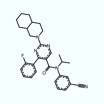 CC(C)N(C(=O)c1cnc(N2CCC3CCCCC3C2)nc1-c1ccccc1F)c1cccc(C#N)c1